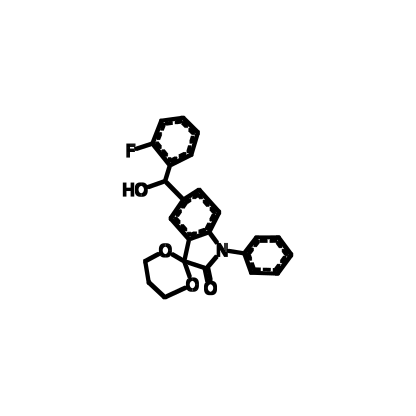 O=C1N(c2ccccc2)c2ccc(C(O)c3ccccc3F)cc2C12OCCCO2